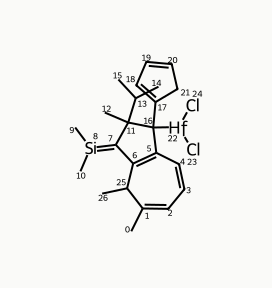 CC1=CC=CC2=C(C(=[Si](C)C)C(C)(C(C)C)[C]2(C2=CC=CC2)[Hf]([Cl])[Cl])C1C